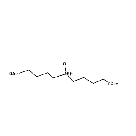 CCCCCCCCCCCCCC[NH+]([O-])CCCCCCCCCCCCCC